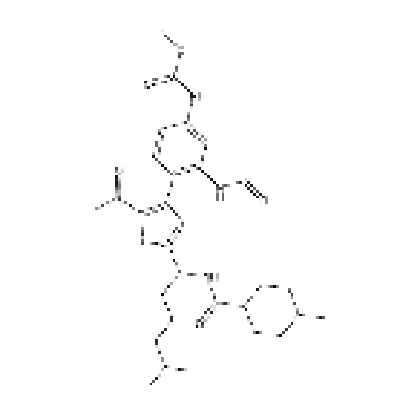 COC(=O)Nc1ccc(-c2cc(C(CCCC(C)C)NC(=O)C3CCC(C)CC3)sc2C(C)=O)c(NC=O)c1